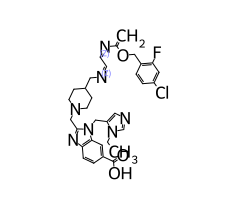 C=C(/N=C\C=N/CC1CCN(Cc2nc3ccc(C(=O)O)cc3n2Cc2cncn2CC)CC1)OCc1ccc(Cl)cc1F